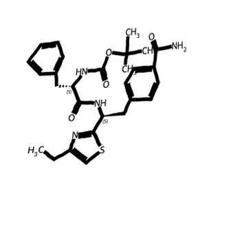 CCc1csc([C@H](Cc2ccc(C(N)=O)cc2)NC(=O)[C@H](Cc2ccccc2)NC(=O)OC(C)(C)C)n1